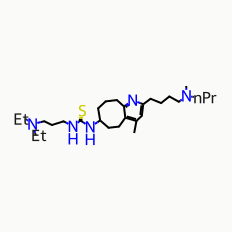 CCCN(C)CCCCc1cc(C)c2c(n1)CCCC(NC(=S)NCCCN(CC)CC)CC2